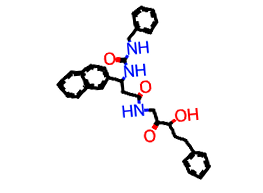 O=C(CC(NC(=O)NCc1ccccc1)c1ccc2ccccc2c1)NCC(=O)C(O)CCc1ccccc1